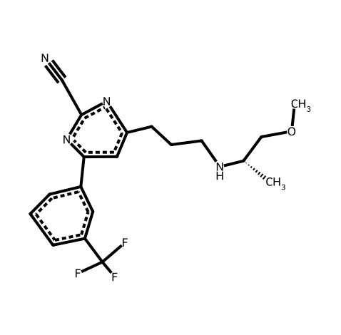 COC[C@H](C)NCCCc1cc(-c2cccc(C(F)(F)F)c2)nc(C#N)n1